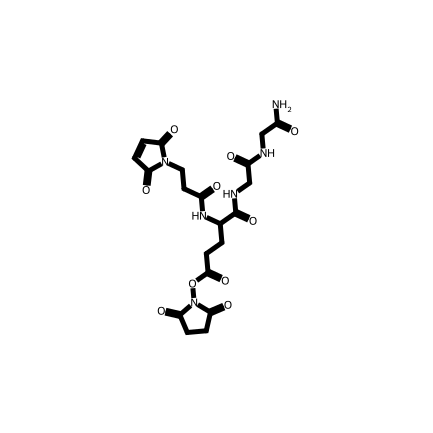 NC(=O)CNC(=O)CNC(=O)C(CCC(=O)ON1C(=O)CCC1=O)NC(=O)CCN1C(=O)C=CC1=O